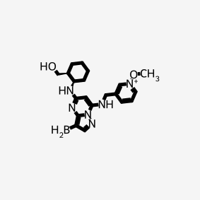 Bc1cnn2c(NCc3ccc[n+](OC)c3)cc(N[C@@H]3CCCC[C@@H]3CO)nc12